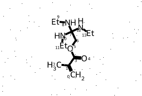 C=C(C)C(=O)OCC(NCC)(NCC)NCC